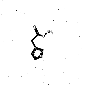 NOC(=O)Cc1ccsc1